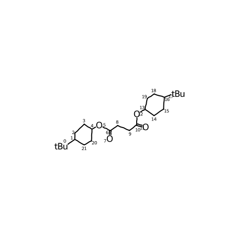 CC(C)(C)C1CCC(OC(=O)CCC(=O)OC2CCC(C(C)(C)C)CC2)CC1